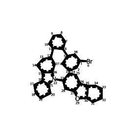 Brc1cccc(-c2ccccc2-c2ccc3c4ccccc4n(-c4ccc5c(c4)oc4ccccc45)c3c2)c1